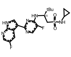 CC(C)(C)[C@@H](CS(=O)(=O)NC1CC1)Nc1nc(-c2c[nH]c3ncc(F)cc23)ncc1F